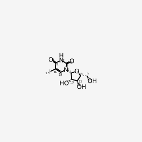 O=c1[nH]c(=O)n([C@@H]2O[C@H](CO)[C@@H](O)[C@@H]2O)cc1I